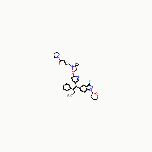 O=C(/C=C/CNC1(COc2ccc(/C(=C(/CC(F)(F)F)c3ccccc3)c3ccc4c(c3)c(F)nn4C3CCCCO3)cn2)CC1)N1CCCC1